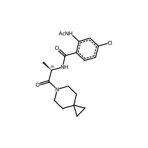 CC(=O)Nc1cc(Cl)ccc1C(=O)N[C@H](C)C(=O)N1CCC2(CC1)CC2